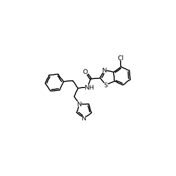 O=C(NC(Cc1ccccc1)Cn1ccnc1)c1nc2c(Cl)cccc2s1